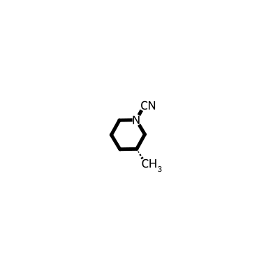 C[C@@H]1CCCN(C#N)C1